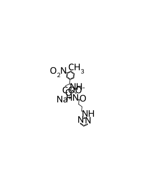 Cc1ccc(C(CC(=O)[O-])NC(=O)CNC(=O)CCCNc2ncccn2)cc1[N+](=O)[O-].[Na+]